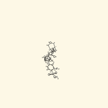 CC1(OC(=O)N2CC3COCC2[C@H]3OCc2nc(-c3ccc(S(C)(=O)=O)c(F)c3)no2)CC1